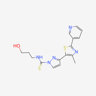 Cc1nc(-c2cccnc2)sc1-c1ccn(C(=S)NCCCO)n1